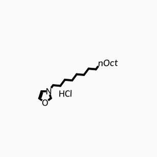 CCCCCCCCCCCCCCCCN1C=COC1.Cl